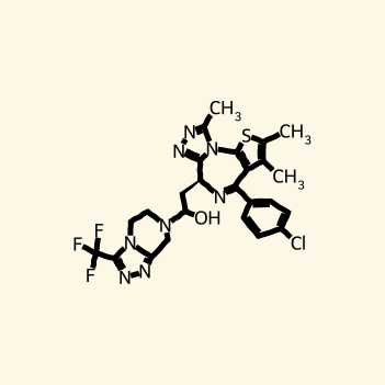 Cc1sc2c(c1C)C(c1ccc(Cl)cc1)=N[C@@H](CC(O)N1CCn3c(nnc3C(F)(F)F)C1)c1nnc(C)n1-2